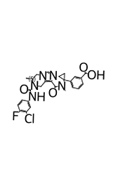 C[C@H]1Cn2cnc(C(=O)N(C)C3(c4cccc(C(=O)O)c4)CC3)c2CN1C(=O)Nc1ccc(F)c(Cl)c1